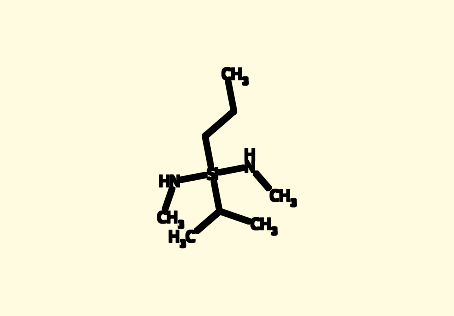 CCC[Si](NC)(NC)C(C)C